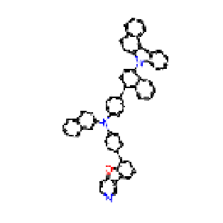 c1ccc2cc(N(c3ccc(-c4ccc(-n5c6ccccc6c6c7ccccc7ccc65)c5ccccc45)cc3)c3ccc(-c4cccc5c4oc4ccncc45)cc3)ccc2c1